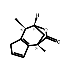 C[C@@H]1C2=C(C=CC2)[C@]2(C)C[C@H]1OC2=O